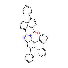 O=c1c2ccc(-c3ccccc3)c3cccc(c32)c2nc3cc(-c4ccccc4)c(-c4ccccc4)c(-c4ccccc4)c3n12